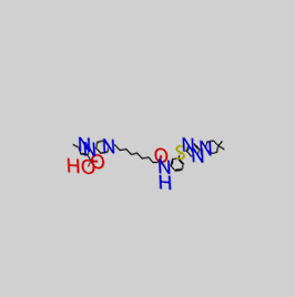 Cc1cc(C(=O)O)n(C2CCN(CCCCCCCCC(=O)Nc3cccc(Sc4cnc(N5CCC(C)(C)CC5)cn4)c3)CC2)n1